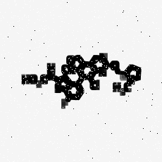 CN1CCC[C@H]1COc1ncc2c3c(c(-c4ccc(F)c5sc(NC(=O)O)c(C#N)c45)c(Cl)c2n1)COC3